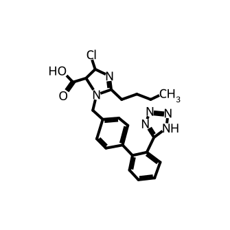 CCCCC1=NC(Cl)C(C(=O)O)N1Cc1ccc(-c2ccccc2-c2nnn[nH]2)cc1